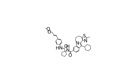 COOC/C=C/c1ccc(NC(=O)C2(NC(=O)c3ccc4c(C5CCCCC5)c5n(c4c3)CCCc3sc(C)nc3-5)CCCC2)cc1